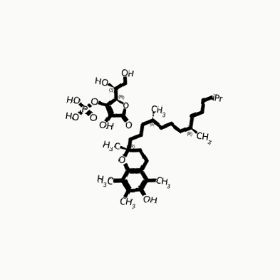 Cc1c(C)c2c(c(C)c1O)CC[C@@](C)(CCC[C@H](C)CCC[C@H](C)CCCC(C)C)O2.O=C1O[C@H]([C@@H](O)CO)C(OP(=O)(O)O)=C1O